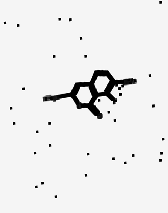 CCCCCCCc1cc2ccc(OC)c(F)c2c(=O)o1